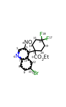 CCOC(=O)C1(c2c(N=O)cnc3ccc(Br)cc23)CCC(F)(F)CC1